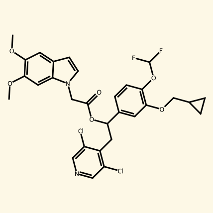 COc1cc2ccn(CC(=O)OC(Cc3c(Cl)cncc3Cl)c3ccc(OC(F)F)c(OCC4CC4)c3)c2cc1OC